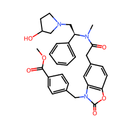 COC(=O)c1ccc(Cn2c(=O)oc3ccc(CC(=O)N(C)[C@H](CN4CCC(O)C4)c4ccccc4)cc32)cc1